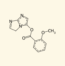 COc1ccccc1C(=O)Oc1cnc2n1CC=N2